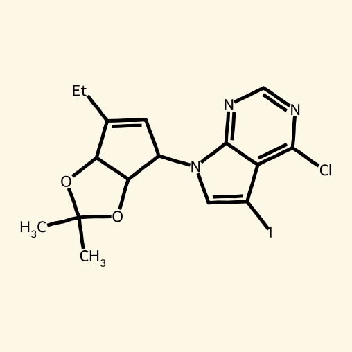 CCC1=CC(n2cc(I)c3c(Cl)ncnc32)C2OC(C)(C)OC12